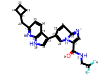 O=C(NCC(F)F)c1cnc2ccc(-c3c[nH]c4nc(CC5CCC5)ccc34)cn12